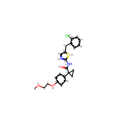 COCCOc1ccc(C2(C(=O)Nc3ncc(Cc4ccccc4Cl)s3)CC2)cc1